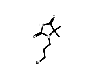 CC1(C)C(=O)NC(=O)N1CCCBr